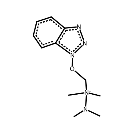 CN(C)[N+](C)(C)COn1nnc2ccccc21